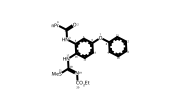 CCCC(=O)Nc1cc(Oc2ccccc2)ccc1NC(=NC(=O)OCC)SC